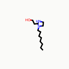 CCCCCCCCN1CCNC1CCO